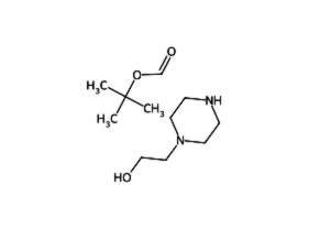 CC(C)(C)OC=O.OCCN1CCNCC1